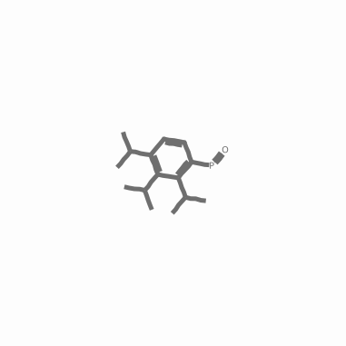 CC(C)c1ccc(P=O)c(C(C)C)c1C(C)C